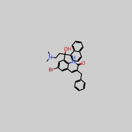 CN(C)CCC(O)(c1cccc2ccccc12)c1cc(Br)cc2cc(Cc3ccccc3)c(=O)[nH]c12